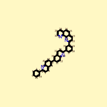 c1ccc(-c2ccc3cc(-c4ccc5nc(-c6cccc(-c7ccc8ccc9cccnc9c8n7)c6)ccc5c4)ccc3n2)cc1